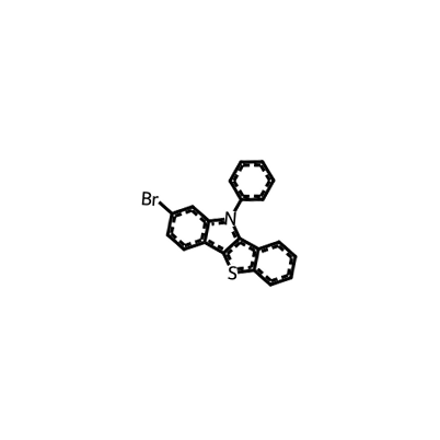 Brc1ccc2c3sc4ccccc4c3n(-c3ccccc3)c2c1